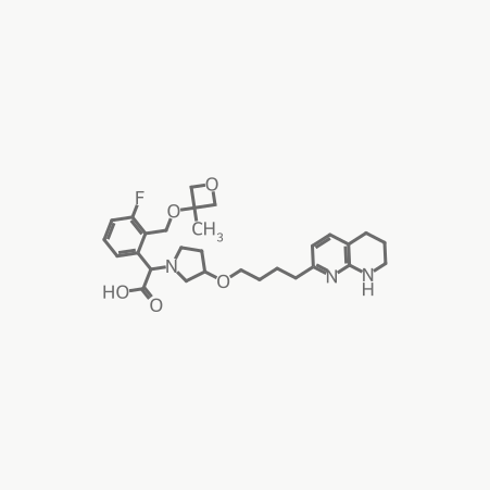 CC1(OCc2c(F)cccc2C(C(=O)O)N2CCC(OCCCCc3ccc4c(n3)NCCC4)C2)COC1